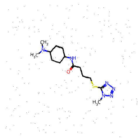 CN(C)C1CCC(NC(=O)CCCSc2nnnn2C)CC1